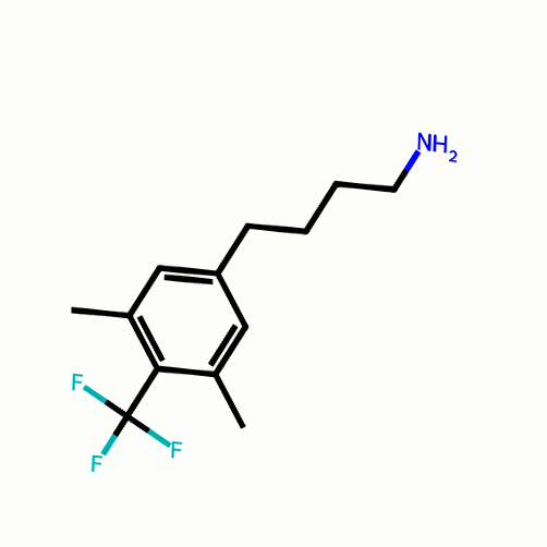 Cc1cc(CCCCN)cc(C)c1C(F)(F)F